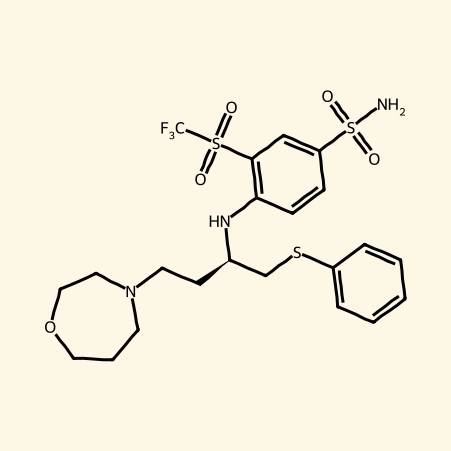 NS(=O)(=O)c1ccc(N[C@H](CCN2CCCOCC2)CSc2ccccc2)c(S(=O)(=O)C(F)(F)F)c1